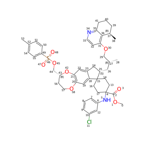 COC(=O)C1(Nc2cccc(Cl)c2)CCC2(CC1)c1cc3c(cc1C[C@@H]2C[C@@H](C)COc1ccnc2c1[C@H](C)CCC2)O[C@@H](COS(=O)(=O)c1ccc(C)cc1)CCO3